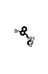 Brc1ccc(CCNc2ccncn2)c2ccccc12